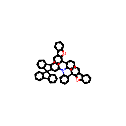 c1ccc(N(c2ccc3c(c2)C2(c4ccccc4-c4ccccc42)c2ccccc2-3)c2ccccc2-c2cccc3c2oc2ccccc23)c(-c2cccc3c2oc2ccccc23)c1